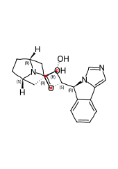 O=C(O)N1[C@@H]2CC[C@H]1C[C@]1(C[C@@H]([C@@H]3c4ccccc4-c4cncn43)[C@H]1O)C2